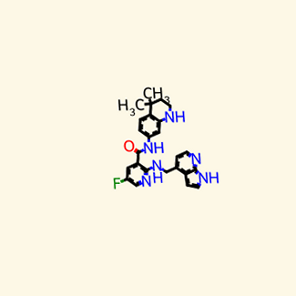 CC1(C)CCNc2cc(NC(=O)c3cc(F)cnc3NCc3ccnc4[nH]ccc34)ccc21